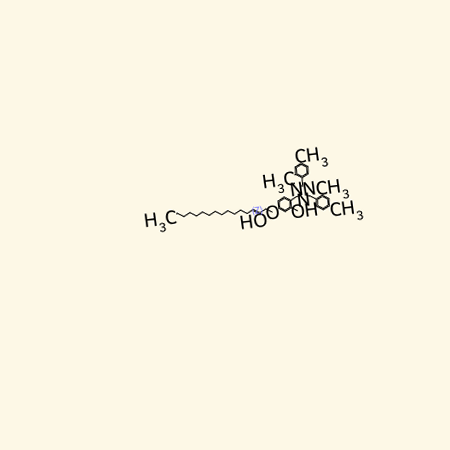 CCCCCCCCCCCCC/C=C(\O)COc1ccc(-c2nc(-c3ccc(C)cc3C)nc(-c3ccc(C)cc3C)n2)c(O)c1